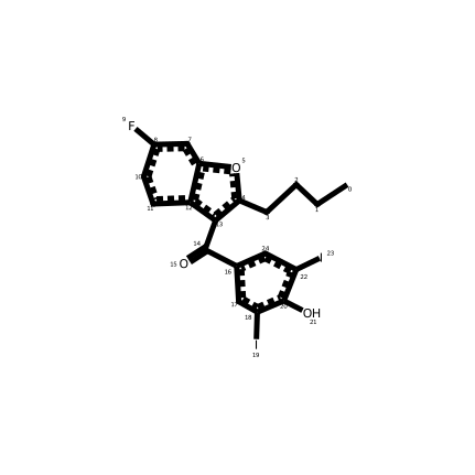 CCCCc1oc2cc(F)ccc2c1C(=O)c1cc(I)c(O)c(I)c1